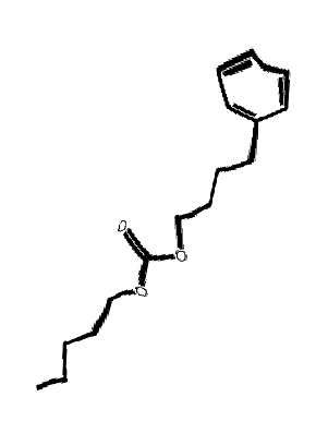 CCCCCOC(=O)OCCCCc1ccccc1